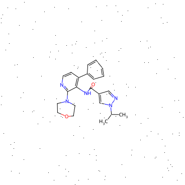 CC(C)n1cc(C(=O)Nc2c(-c3ccccc3)ccnc2N2CCOCC2)cn1